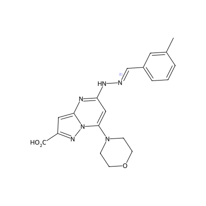 Cc1cccc(/C=N/Nc2cc(N3CCOCC3)n3nc(C(=O)O)cc3n2)c1